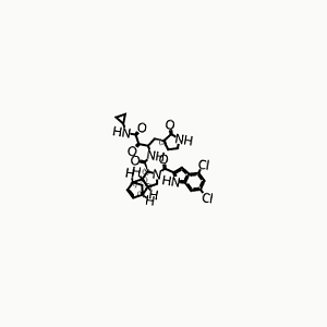 O=C(NC1CC1)C(=O)C(C[C@@H]1CCNC1=O)NC(=O)[C@@H]1[C@@H]2[C@H](CN1C(=O)c1cc3c(Cl)cc(Cl)cc3[nH]1)[C@@H]1C=C[C@H]2C1